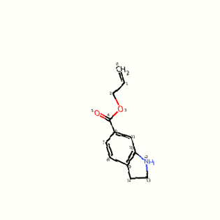 C=CCOC(=O)c1ccc2c(c1)NCC2